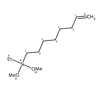 C=CCCCCCC[Si](CC)(OC)OC